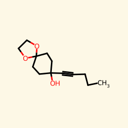 CCCC#CC1(O)CCC2(CC1)OCCO2